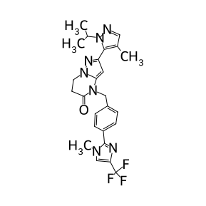 Cc1cnn(C(C)C)c1-c1cc2n(n1)CCC(=O)N2Cc1ccc(-c2nc(C(F)(F)F)cn2C)cc1